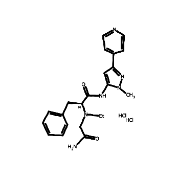 CCN(CC(N)=O)[C@@H](Cc1ccccc1)C(=O)Nc1cc(-c2ccncc2)nn1C.Cl.Cl